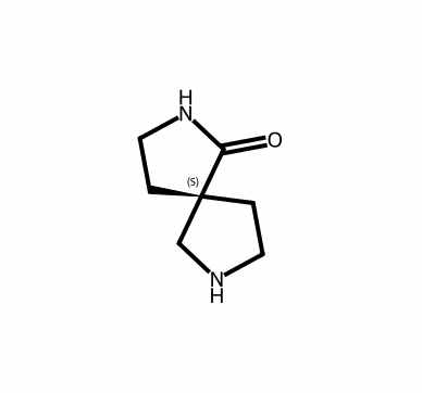 O=C1NCC[C@]12CCNC2